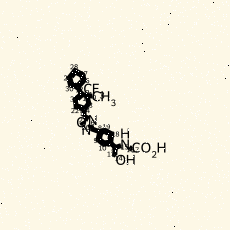 CC1(C(F)(F)F)CC(c2nc(-c3ccc(C(CO)NCC(=O)O)cc3)no2)=CC=C1c1ccccc1